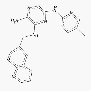 Cc1ccc(Nc2cnc(N)c(NCc3ccc4ncccc4c3)n2)nc1